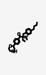 CCCCc1ccc(CC(CC)(C(=O)c2ccc(C3CNCCO3)cc2)N(C)C)cc1